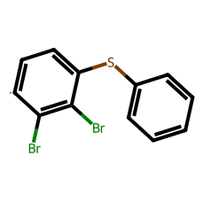 Brc1[c]ccc(Sc2ccccc2)c1Br